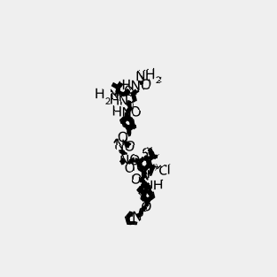 Cc1csc2c(OC(=O)N(C)CCN(C)C(=O)OCc3ccc(NC(=O)[C@H](CCCNC(N)=O)NC(=O)[C@@H](N)C(C)C)cc3)cc3c(c12)[C@H](CCl)CN3C(=O)c1cc2cc(OCCN3CCCC3)ccc2[nH]1